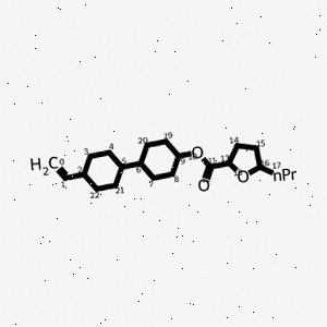 C=CC1CCC(C2CCC(OC(=O)C3CCC(CCC)O3)CC2)CC1